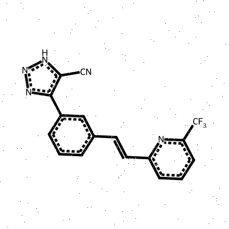 N#Cc1[nH]nnc1-c1cccc(/C=C/c2cccc(C(F)(F)F)n2)c1